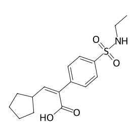 CCNS(=O)(=O)c1ccc(C(=CC2CCCC2)C(=O)O)cc1